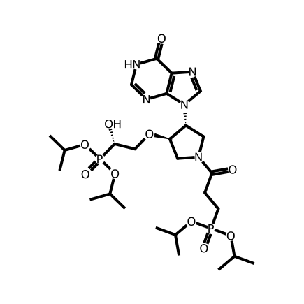 CC(C)OP(=O)(CCC(=O)N1C[C@@H](n2cnc3c(=O)[nH]cnc32)[C@H](OC[C@@H](O)P(=O)(OC(C)C)OC(C)C)C1)OC(C)C